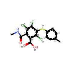 CNC(=O)c1c(Cl)c(Cl)c(Sc2ccc(C)cc2)c(Cl)c1C(=O)O